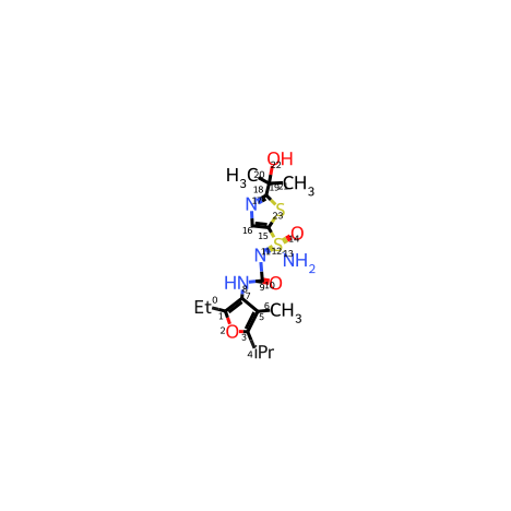 CCc1oc(C(C)C)c(C)c1NC(=O)N=S(N)(=O)c1cnc(C(C)(C)O)s1